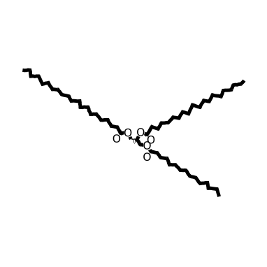 CCCCCCCCCCCCCCCCCCCCC(=O)OC[C@@H](COC(=O)CCCCCCCCCCCCCC)OC(=O)CCCCCCCCCCCCCCCCCCC